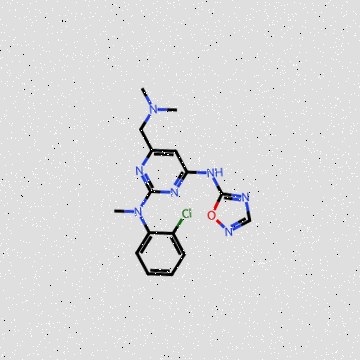 CN(C)Cc1cc(Nc2ncno2)nc(N(C)c2ccccc2Cl)n1